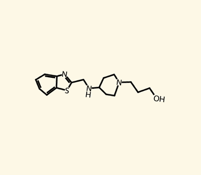 OCCCN1CCC(NCc2nc3ccccc3s2)CC1